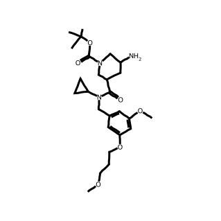 COCCCOc1cc(CN(C(=O)C2CC(N)CN(C(=O)OC(C)(C)C)C2)C2CC2)cc(OC)c1